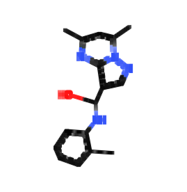 Cc1cc(C)n2ncc(C(O)Nc3ccccc3C)c2n1